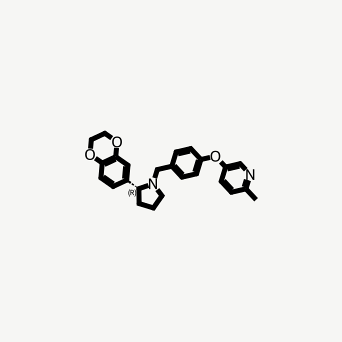 Cc1ccc(Oc2ccc(CN3CCC[C@@H]3c3ccc4c(c3)OCCO4)cc2)cn1